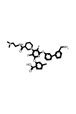 Cc1ccc(C(=O)O)c(Oc2nc(Oc3cccc(-c4cccc(CN)c4)c3)c(F)c(N3CCCC(C(=O)NCCN(C)C)C3)c2F)c1